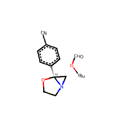 CC(C)(C)OC=O.N#Cc1ccc([C@]23CN2CCO3)cc1